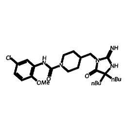 CCCCC1(CCCC)NC(=N)N(CC2CCN(C(=O)Nc3cc(Cl)ccc3OC)CC2)C1=O